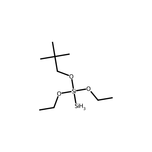 CCO[Si]([SiH3])(OCC)OCC(C)(C)C